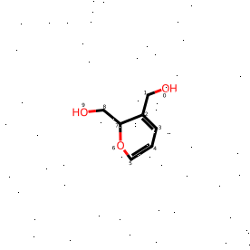 OCC1=CC=COC1CO